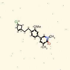 COc1cc(-c2cc(C)c(=O)n(C)c2)ccc1CCC1=CCC(Cl)C1